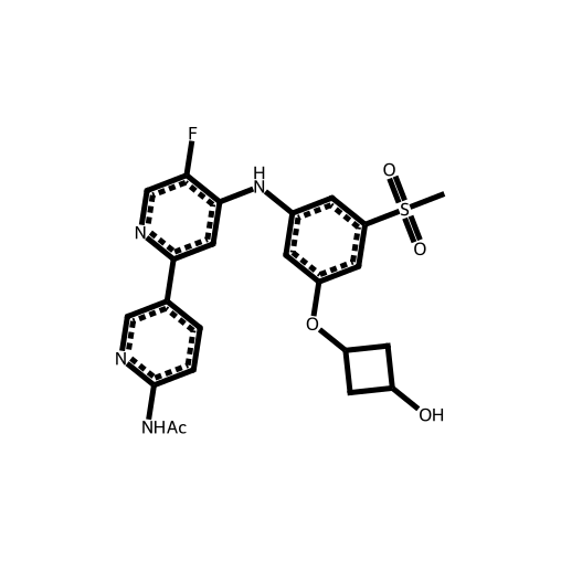 CC(=O)Nc1ccc(-c2cc(Nc3cc(OC4CC(O)C4)cc(S(C)(=O)=O)c3)c(F)cn2)cn1